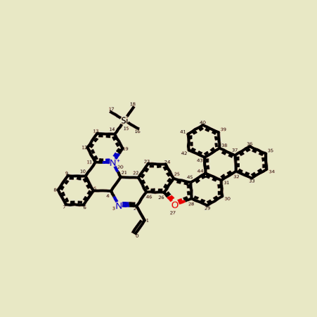 C=CC1=NC2c3ccccc3-c3ccc([Si](C)(C)C)c[n+]3C2c2ccc3c(oc4ccc5c6ccccc6c6ccccc6c5c43)c21